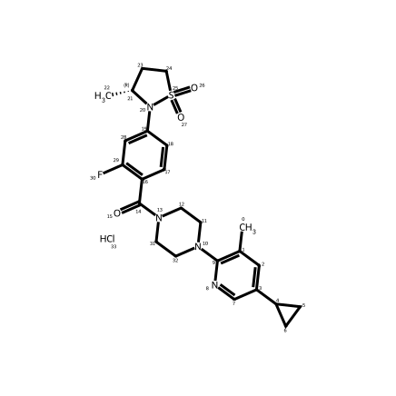 Cc1cc(C2CC2)cnc1N1CCN(C(=O)c2ccc(N3[C@H](C)CCS3(=O)=O)cc2F)CC1.Cl